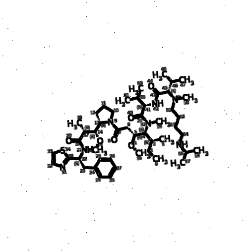 CC[C@H](C)[C@@H]([C@@H](CC(=O)N1CCC[C@H]1[C@H](OC)[C@@H](C)C(=O)N[C@@H](Cc1ccccc1)c1nccs1)OC)N(C)C(=O)[C@@H](NC(=O)[C@H](C(C)C)N(C)CCCCNC(C)C)C(C)C